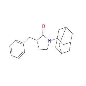 O=C1C(Cc2ccccc2)CCN1C12CC3CC(CC(C3)C1)C2